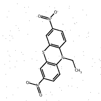 CCN1c2ccc([N+](=O)[O-])cc2Sc2cc([N+](=O)[O-])ccc21